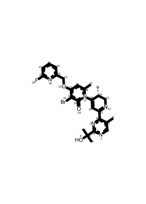 Cc1cnc(C(C)(C)O)nc1C1=NC[C@@H](C)C(n2c(C)cc(OCc3cccc(F)n3)c(Br)c2=O)=C1